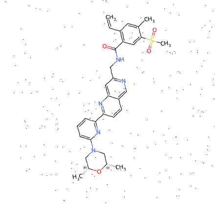 C=Cc1cc(C)c(S(C)(=O)=O)cc1C(=O)NCc1cc2nc(-c3cccc(N4C[C@@H](C)O[C@@H](C)C4)n3)ccc2cn1